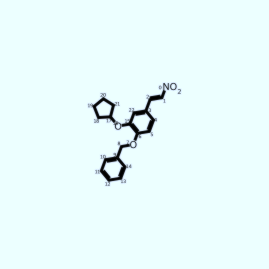 O=[N+]([O-])C=Cc1ccc(OCc2ccccc2)c(OC2CCCC2)c1